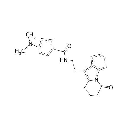 CN(C)c1ccc(C(=O)NCCc2c3n(c4ccccc24)C(=O)CCC3)cc1